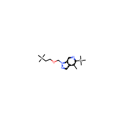 Cc1[c]([Sn]([CH3])([CH3])[CH3])ncc2c1cnn2COCC[Si](C)(C)C